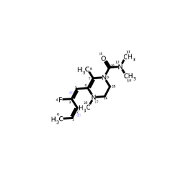 C/C=C\C(F)=C/C1=C(C)N(C(=O)N(C)C)CCN1C